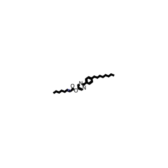 CCCCC/C=C/C(=O)Oc1cnc(-c2ccc(CCCCCCCC)cc2)nc1